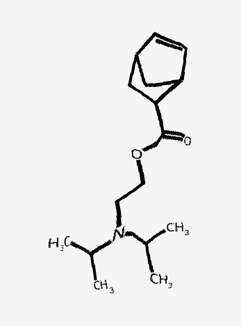 CC(C)N(CCOC(=O)C1CC2C=CC1C2)C(C)C